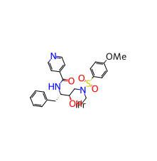 COc1ccc(S(=O)(=O)N(CC(C)C)C[C@@H](O)[C@H](Cc2ccccc2)NC(=O)c2ccncc2)cc1